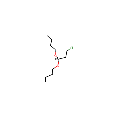 CCCCO[SiH](CCCl)OCCCC